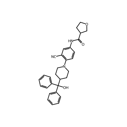 N#Cc1cc(NC(=O)C2CCOC2)ccc1N1CCC(C(O)(c2ccccc2)c2ccccc2)CC1